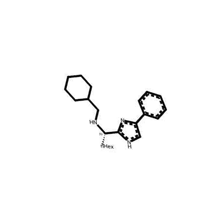 CCCCCC[C@H](NCC1CCCCC1)c1nc(-c2ccccc2)c[nH]1